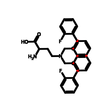 NC(CCN(Cc1ccccc1OCc1ccccc1F)Cc1ccccc1OCc1ccccc1F)C(=O)O